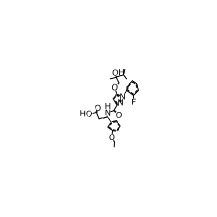 CCOc1cccc(C(CC(=O)O)NC(=O)c2cc(OCC(C)(O)C(C)C)n(-c3ccccc3F)n2)c1